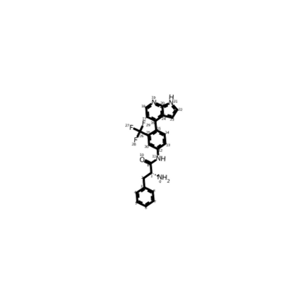 N[C@H](Cc1ccccc1)C(=O)Nc1ccc(-c2ccnc3[nH]ccc23)c(C(F)(F)F)c1